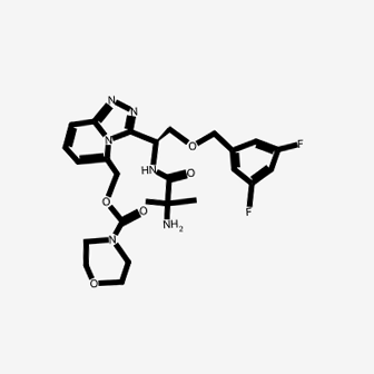 CC(C)(N)C(=O)N[C@H](COCc1cc(F)cc(F)c1)c1nnc2cccc(COC(=O)N3CCOCC3)n12